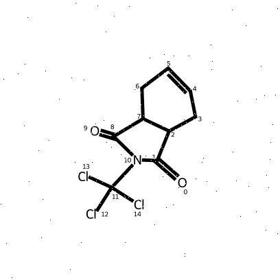 O=C1C2CC=CCC2C(=O)N1C(Cl)(Cl)Cl